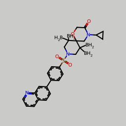 BC1(B)CN(S(=O)(=O)c2ccc(-c3ccc4cccnc4c3)cc2)CC(B)(B)C12CN(C1CC1)C(=O)CO2